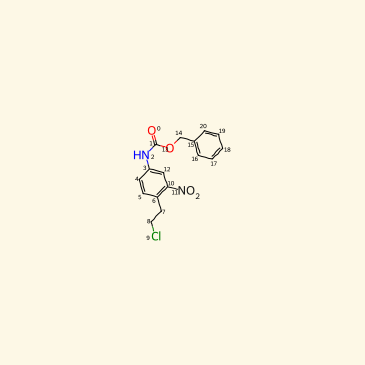 O=C(Nc1ccc(CCCl)c([N+](=O)[O-])c1)OCc1ccccc1